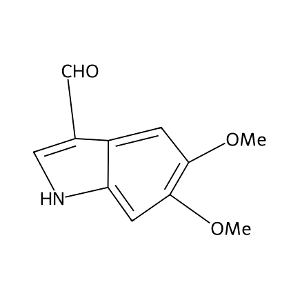 COc1cc2[nH]cc(C=O)c2cc1OC